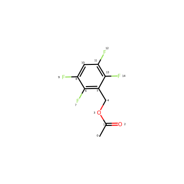 CC(=O)OCc1c(F)c(F)cc(F)c1F